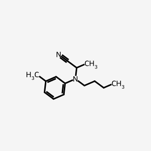 CCCCN(c1cccc(C)c1)C(C)C#N